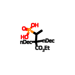 CCCCCCCCCCC(CCCCCCCCCC)(C(=O)OCC)C(C)P(=O)(O)O